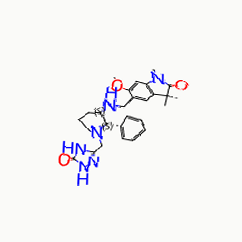 COc1cc2c(cc1CN[C@H]1CCCN(Cc3n[nH]c(=O)[nH]3)[C@H]1c1ccccc1)C(C)(C)C(=O)N2C